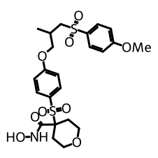 COc1ccc(S(=O)(=O)CC(C)COc2ccc(S(=O)(=O)C3(C(=O)NO)CCOCC3)cc2)cc1